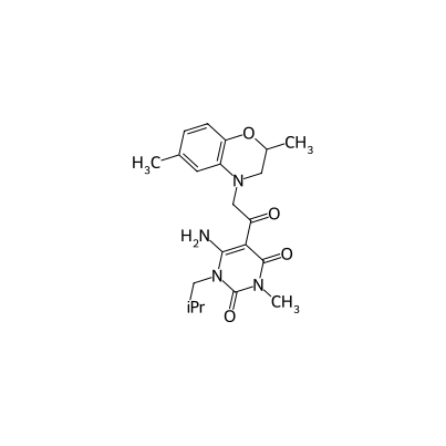 Cc1ccc2c(c1)N(CC(=O)c1c(N)n(CC(C)C)c(=O)n(C)c1=O)CC(C)O2